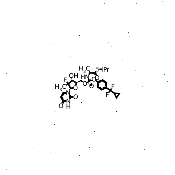 CC(C)SC(=O)[C@H](C)NP(=O)(OC[C@H]1O[C@@H](n2ccc(=O)[nH]c2=O)[C@](C)(F)[C@@H]1O)Oc1ccc(C(F)(F)C2CC2)cc1